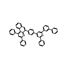 c1ccc(-c2cccc(-c3cc(-c4ccc(-c5cc6ccccc6c6c(-c7ccccc7)cc(-c7ccccc7)nc56)cc4)cc(-c4ccccc4)n3)c2)cc1